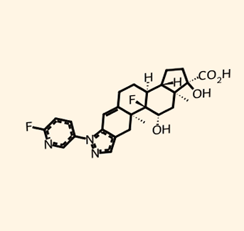 C[C@]12Cc3cnn(-c4ccc(F)nc4)c3C=C1CC[C@H]1[C@@H]3CC[C@](O)(C(=O)O)[C@@]3(C)C[C@H](O)[C@@]12F